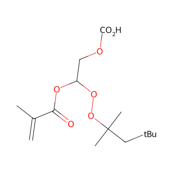 C=C(C)C(=O)OC(COC(=O)O)OOC(C)(C)CC(C)(C)C